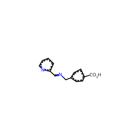 O=C(O)c1ccc(C/N=C/c2ccccn2)cc1